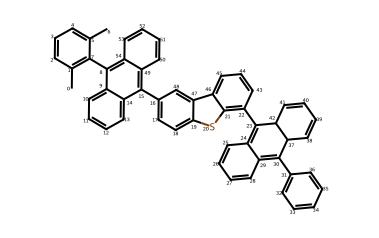 Cc1cccc(C)c1-c1c2ccccc2c(-c2ccc3sc4c(C5=c6ccccc6=C(c6ccccc6)C6C=CC=CC56)cccc4c3c2)c2ccccc12